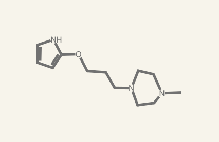 CN1CCN(CCCOc2ccc[nH]2)CC1